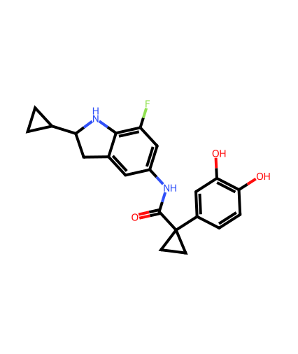 O=C(Nc1cc(F)c2c(c1)CC(C1CC1)N2)C1(c2ccc(O)c(O)c2)CC1